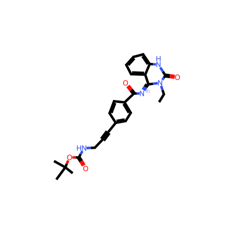 CCn1c(=O)[nH]c2ccccc2/c1=N\C(=O)c1ccc(C#CCNC(=O)OC(C)(C)C)cc1